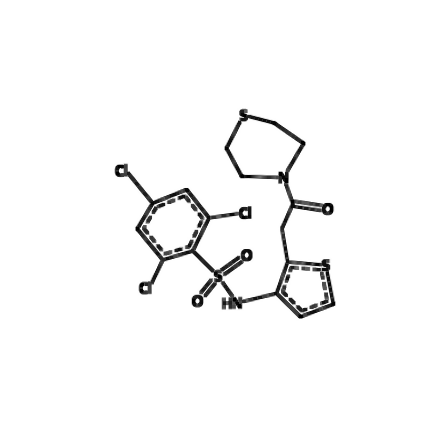 O=C(Cc1sccc1NS(=O)(=O)c1c(Cl)cc(Cl)cc1Cl)N1CCSCC1